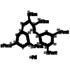 CCCCCCC(=Nc1cc(CCCCC)cc(CCCCC)c1)C(CCCCCC)=Nc1cc(CCCCC)cc(CCCCC)c1.[Pd]